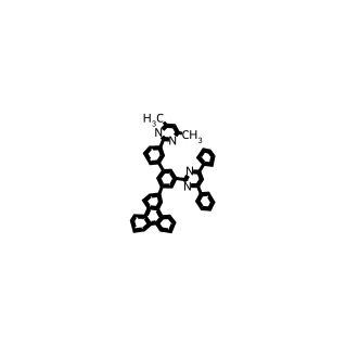 Cc1cc(C)nc(-c2cccc(-c3cc(-c4ccc5c6ccccc6c6ccccc6c5c4)cc(-c4nc(-c5ccccc5)cc(-c5ccccc5)n4)c3)c2)n1